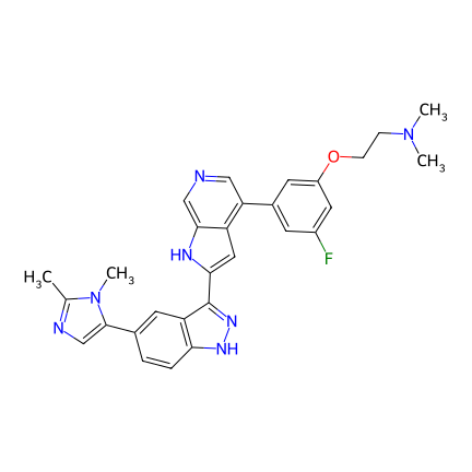 Cc1ncc(-c2ccc3[nH]nc(-c4cc5c(-c6cc(F)cc(OCCN(C)C)c6)cncc5[nH]4)c3c2)n1C